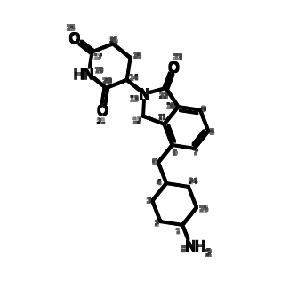 NC1CCC(Cc2cccc3c2CN(C2CCC(=O)NC2=O)C3=O)CC1